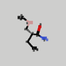 CBC[C@@H](CC)C(N)=O